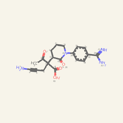 CC(=O)C(CC#CN)(C(=O)O)C1CCCN(c2ccc(C(=N)N)cc2)C1=O